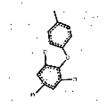 Cc1ccc(Oc2c(Cl)cc(C(C)C)cc2Cl)cc1